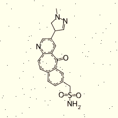 CN1CC(c2cnc3ccc4ccc(CS(N)(=O)=O)cc4c(=O)c3c2)C=N1